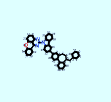 c1ccc(CC2CCc3cc(-c4ccc5c(c4)c4ccccc4n5-c4nc5c6c(cccc6n4)Oc4ccccc4-5)ccc3-c3ccccc32)cc1